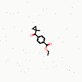 CCOC(=O)c1ccc(C(=O)C2(C)CC2)cc1